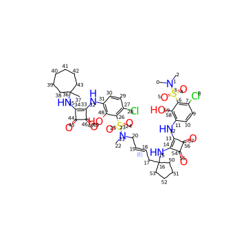 CN(C)S(=O)(=O)c1c(Cl)ccc(Nc2c(NC3(C/C=C/CN(C)S(=O)(=O)c4c(Cl)ccc(Nc5c(NC6(C)CCCCCC6)c(=O)c5=O)c4O)CCCC3)c(=O)c2=O)c1O